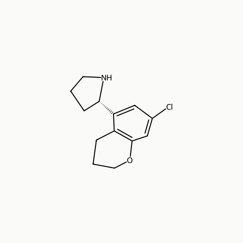 Clc1cc2c(c([C@@H]3CCCN3)c1)CCCO2